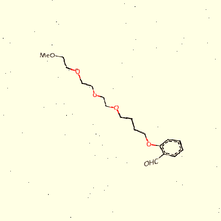 COCCOCCOCCOCCCCOc1ccccc1C=O